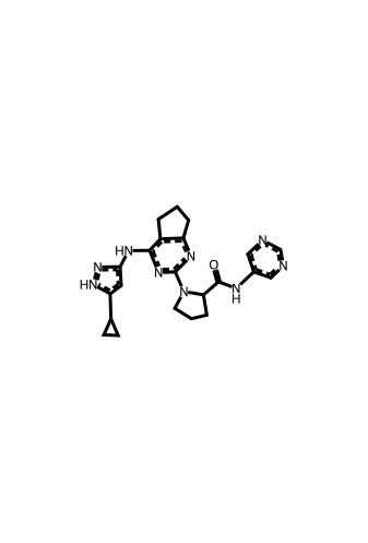 O=C(Nc1cncnc1)C1CCCN1c1nc2c(c(Nc3cc(C4CC4)[nH]n3)n1)CCC2